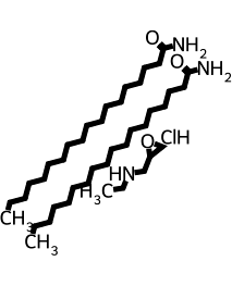 CCCCCCCCCCCCCCCCCC(N)=O.CCCCCCCCCCCCCCCCCC(N)=O.CCNCC1CO1.Cl